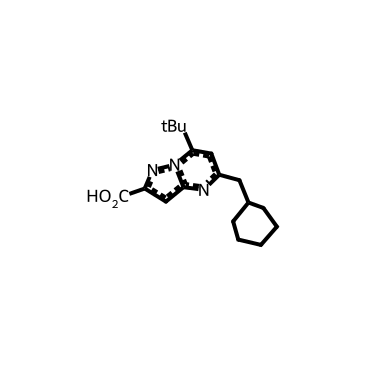 CC(C)(C)c1cc(CC2CCCCC2)nc2cc(C(=O)O)nn12